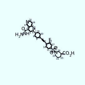 NNC(=O)c1cc(-c2ccc(C#Cc3ccc(S(=O)(=O)N4CCCC(C(=O)O)C4)cc3F)cc2)nc2ccncc12